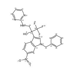 O=[N+]([O-])c1ccc2c(C(O)(CNc3ncccn3)C(F)(F)F)cn(Cc3ccccc3)c2c1